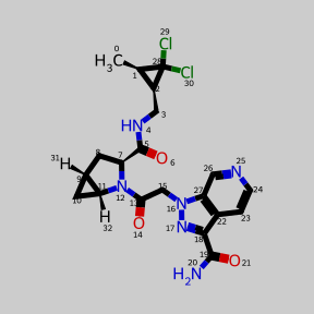 C[C@@H]1[C@H](CNC(=O)[C@@H]2C[C@H]3C[C@H]3N2C(=O)Cn2nc(C(N)=O)c3ccncc32)C1(Cl)Cl